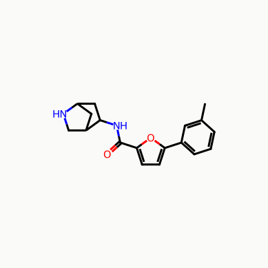 Cc1cccc(-c2ccc(C(=O)NC3CC4CC3CN4)o2)c1